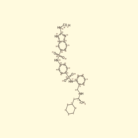 C[C@@H](CC1CCCCC1)NCc1ccccc1NS(=O)(=O)c1ccc(NS(=O)(=O)c2ccc3nc(NC(=O)O)[nH]c3c2)cc1